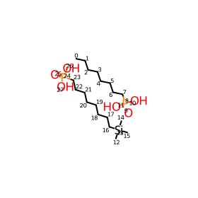 CCCCCCCCP(=O)(O)O.C[Si](C)(C)CCCCCCCCP(=O)(O)O